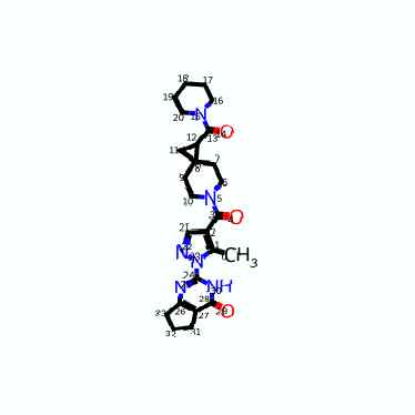 Cc1c(C(=O)N2CCC3(CC2)CC3C(=O)N2CCCCC2)cnn1-c1nc2c(c(=O)[nH]1)CCC2